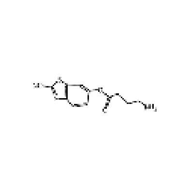 N#Cc1nc2ccc(OC(=O)CCCN)cc2s1